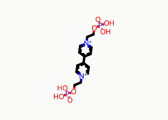 O=P(O)(O)OCC[n+]1ccc(-c2cc[n+](CCOP(=O)(O)O)cc2)cc1